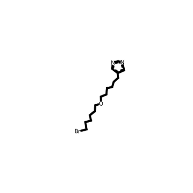 BrCCCCCCOCCCCCCc1cncnc1